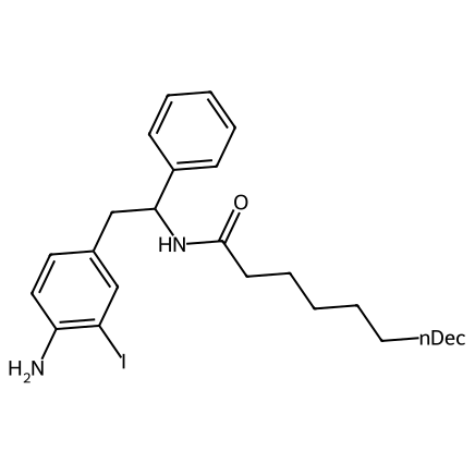 CCCCCCCCCCCCCCCC(=O)NC(Cc1ccc(N)c(I)c1)c1ccccc1